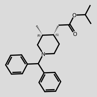 CC(C)OC(=O)C[C@@H]1CCN(C(c2ccccc2)c2ccccc2)C[C@@H]1C